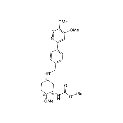 COc1cc(-c2ccc(CN[C@H]3CC[C@H](OC)[C@@H](NC(=O)OC(C)(C)C)C3)cc2)nnc1OC